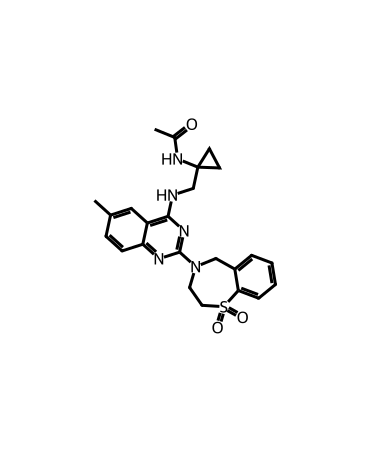 CC(=O)NC1(CNc2nc(N3CCS(=O)(=O)c4ccccc4C3)nc3ccc(C)cc23)CC1